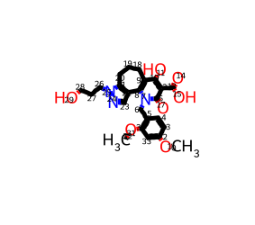 COc1ccc(Cn2c3c(c(O)c(C(=O)O)c2=O)CCCc2c-3cnn2CCCO)c(OC)c1